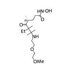 CCC(C)(C(=O)[C@H](C)CCC(=O)NO)C(C)(C)NCCOCCOC